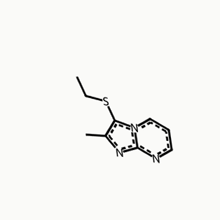 CCSc1c(C)nc2ncccn12